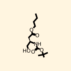 CCCCOC(=O)C[C@H](CO)NC(=O)OC(C)(C)C